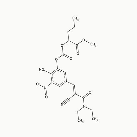 CCCC(OC(=O)Oc1cc(/C=C(\C#N)C(=O)N(CC)CC)cc([N+](=O)[O-])c1O)C(=O)OC